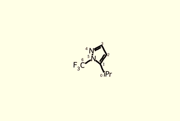 CC(C)c1ccnn1C(F)(F)F